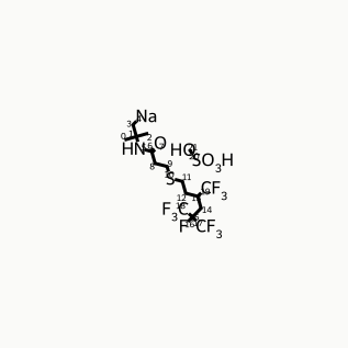 CC(C)([CH2][Na])NC(=O)CCSCCC(CC(F)(C(F)(F)F)C(F)(F)F)C(F)(F)F.O=S(=O)(O)O